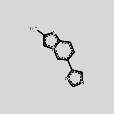 Cc1cn2cc(-c3cnco3)ccc2n1